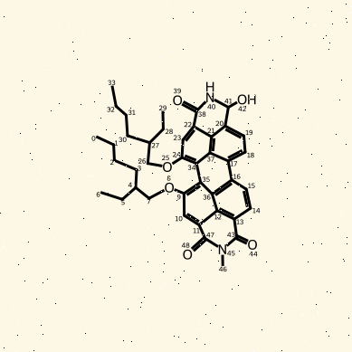 CCCCC(CC)COc1cc2c3c(ccc4c5ccc6c7c(cc(OCC(CC)CCCC)c(c1c34)c75)C(=O)NC6O)C(=O)N(C)C2=O